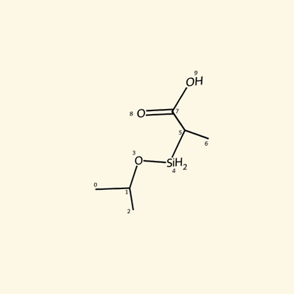 CC(C)O[SiH2]C(C)C(=O)O